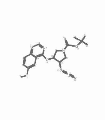 COc1ccc2ncnc(OC3CN(C(=O)OC(C)(C)C)CC3N=[N+]=[N-])c2c1